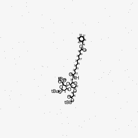 CC(C)(C)OC(=O)CCO[C@H]1[C@H](OCCC(=O)OC(C)(C)C)[C@@H](CNC(=O)CCCCCCCCCCC(=O)OCc2ccccc2)OC[C@@H]1OCCC(=O)OC(C)(C)C